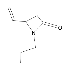 C=CC1CC(=O)N1CCC